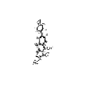 CC(=O)CNC(=O)c1c(O)c2ccc(-c3ccc(Cl)cc3)cc2n(C)c1=O